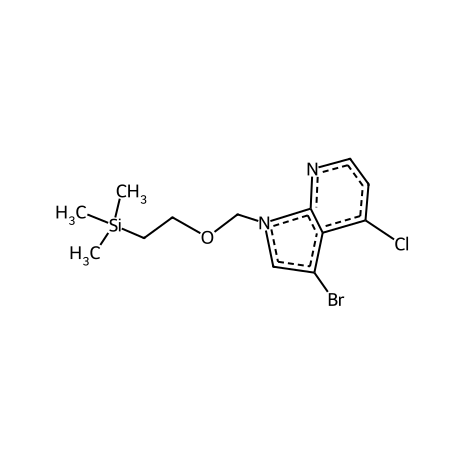 C[Si](C)(C)CCOCn1cc(Br)c2c(Cl)ccnc21